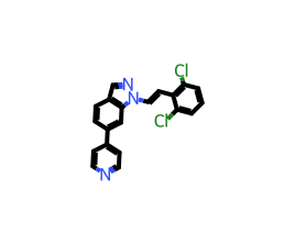 Clc1cccc(Cl)c1C=Cn1ncc2ccc(-c3ccncc3)cc21